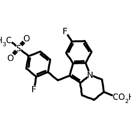 CS(=O)(=O)c1ccc(Cc2c3n(c4ccc(F)cc24)CC(C(=O)O)CC3)c(F)c1